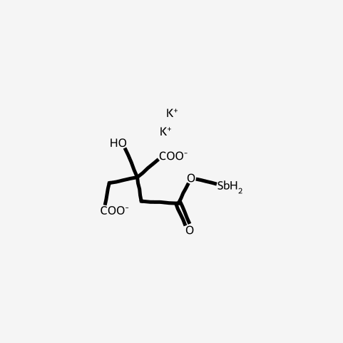 O=C([O-])CC(O)(CC(=O)[O][SbH2])C(=O)[O-].[K+].[K+]